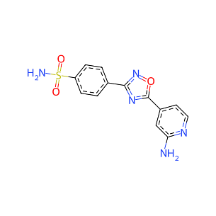 Nc1cc(-c2nc(-c3ccc(S(N)(=O)=O)cc3)no2)ccn1